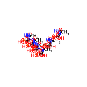 Cc1cn([C@H]2C[C@H](O)[C@@H](COP(=O)(O)O)O2)c(=O)[nH]c1=O.Cc1cn([C@H]2C[C@H](O)[C@@H](COP(=O)(O)O)O2)c(=O)[nH]c1=O.Cc1cn([C@H]2C[C@H](O)[C@@H](COP(=O)(O)O)O2)c(=O)[nH]c1=O.Cc1cn([C@H]2C[C@H](O)[C@@H](COP(=O)(O)O)O2)c(=O)[nH]c1=O.Cc1cn([C@H]2C[C@H](O)[C@@H](COP(=O)(O)O)O2)c(=O)[nH]c1=O.Cc1cn([C@H]2C[C@H](O)[C@@H](COP(=O)(O)O)O2)c(=O)[nH]c1=O